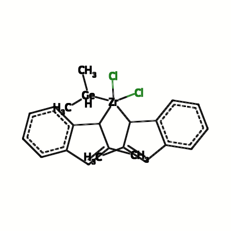 CC1=Cc2ccccc2[CH]1[Zr]([Cl])([Cl])([CH]1C(C)=Cc2ccccc21)[GeH]([CH3])[CH3]